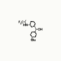 CC(Nc1cccc(C(O)c2ccc(C(C)(C)C)cc2)c1)C(F)(F)F